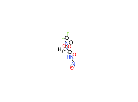 C/C(=C1/Oc2ccccc2N(Cc2ccc(F)cc2F)C1=O)c1ccc(C(=O)NCCCN2CCOCC2)cc1